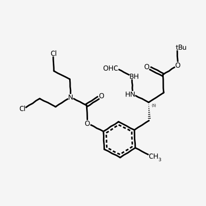 Cc1ccc(OC(=O)N(CCCl)CCCl)cc1C[C@@H](CC(=O)OC(C)(C)C)NBC=O